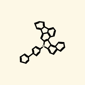 c1ccc(-c2ccc(-n3c4ccc5ccccc5c4c4c5cccc6c5c(cc43)-c3ccccc3-6)cc2)cc1